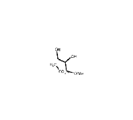 CC(=O)O.COCC(O)CO